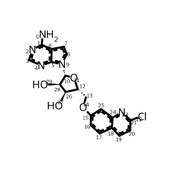 Nc1ncnc2c1ccn2[C@@H]1O[C@H](COc2ccc3ccc(Cl)nc3c2)[C@@H](O)[C@H]1O